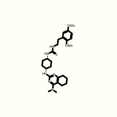 COc1ccc(OC)c(CCNC(=S)N[C@H]2CC[C@@H](Nc3nc4c(c(N(C)C)n3)CCCC4)CC2)c1